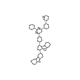 c1ccc(-c2nc(-c3ccc(-c4ccc(-c5ccc6sc7ccccc7c6c5)c5oc6ccccc6c45)cc3)cc(-c3cccc(-c4cccnc4)c3)n2)cc1